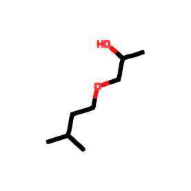 CC(C)CCOCC(C)O